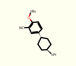 CCCCOc1ccc([C@H]2CC[C@H](CCC)CC2)cc1C#N